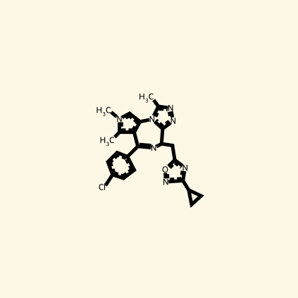 Cc1c2c(cn1C)-n1c(C)nnc1C(Cc1nc(C3CC3)no1)N=C2c1ccc(Cl)cc1